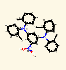 Cc1ccccc1N(c1cc(N(c2ccccc2C)c2ccccc2C)cc([N+](=O)[O-])c1)c1ccccc1C